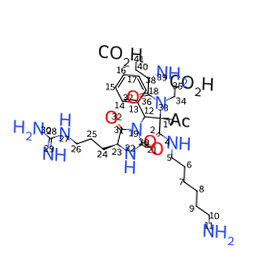 CC(=O)[C@@](C(=O)NCCCCCCN)(C(c1ccccc1)N1C(=O)N[C@@H](CCCNC(=N)N)C1=O)N(CC(=O)O)C(=O)[C@@H](N)CC(=O)O